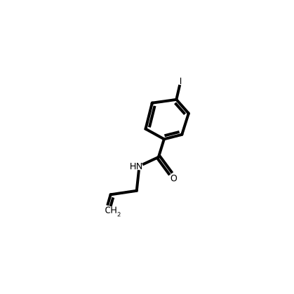 C=CCNC(=O)c1ccc(I)cc1